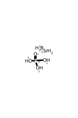 B.O=P(O)(O)O.[SrH2]